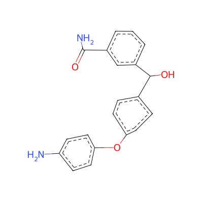 NC(=O)c1cccc(C(O)c2ccc(Oc3ccc(N)cc3)cc2)c1